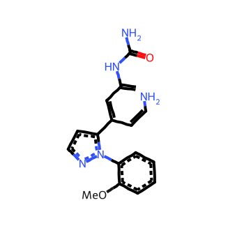 C=C(/C=C(\C=C/N)c1ccnn1-c1ccccc1OC)NC(N)=O